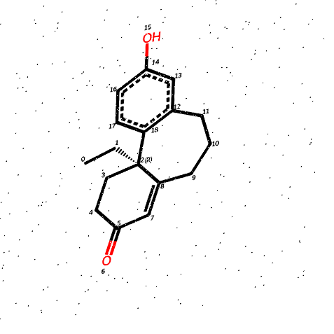 CC[C@@]12CCC(=O)C=C1CCCc1cc(O)ccc12